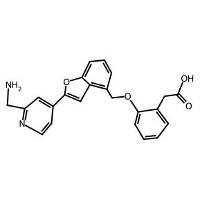 NCc1cc(-c2cc3c(COc4ccccc4CC(=O)O)cccc3o2)ccn1